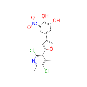 Cc1nc(Cl)c(-c2cc(-c3cc(O)c(O)c([N+](=O)[O-])c3)co2)c(C)c1Cl